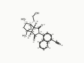 CC12C[C@H](O)[C@](CCO)(O1)[C@@H]1C(=O)N(c3ccc(C#N)c4ncccc34)C(=O)[C@@H]12